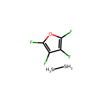 Fc1oc(F)c(F)c1F.[SiH3][SiH3]